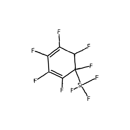 FC1=C(F)C(F)C(F)([Si](F)(F)F)C(F)=C1F